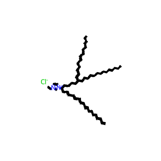 CCCCCCCC/C=C/CCCCCCCCC(CCCCC(CCCCCCCCCCCCCC)CCCCCCCCCCCCCC)[n+]1ccn(CC)c1.[Cl-]